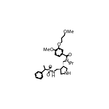 COCCCOc1cc(C(=O)N(C[C@@H]2CNC[C@H]2CNS(=O)(=O)C(C)c2ccccc2)C(C)C)ccc1OC